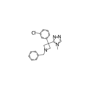 Cn1cnnc1C1(c2cccc(Cl)c2)CN(Cc2ccccc2)C1